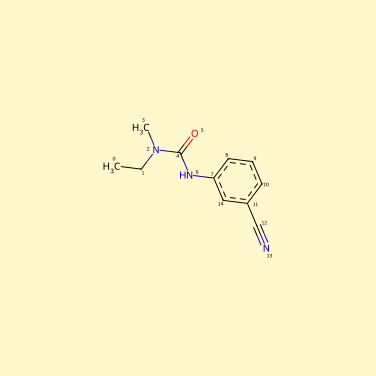 CCN(C)C(=O)Nc1cccc(C#N)c1